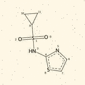 O=S(=O)(Nc1nccs1)C1CC1